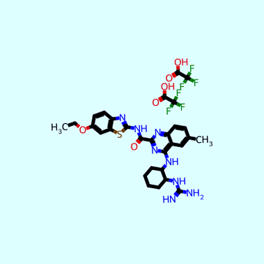 CCOc1ccc2nc(NC(=O)c3nc(NC4CCCCC4NC(=N)N)c4cc(C)ccc4n3)sc2c1.O=C(O)C(F)(F)F.O=C(O)C(F)(F)F